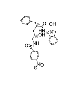 O=C(N[C@H]1c2ccccc2C[C@H]1O)[C@H](Cc1ccccc1)C[C@H](O)CN[S+]([O-])c1ccc([N+](=O)[O-])cc1